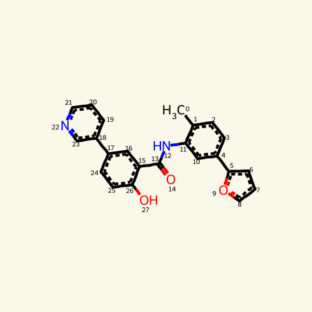 Cc1ccc(-c2ccco2)cc1NC(=O)c1cc(-c2cccnc2)ccc1O